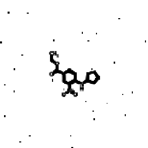 CCOC(=O)c1ccc(NC2CCCC2)c([N+](=O)[O-])c1